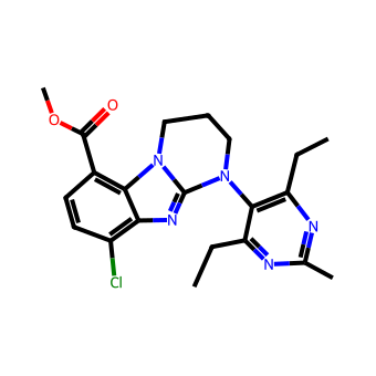 CCc1nc(C)nc(CC)c1N1CCCn2c1nc1c(Cl)ccc(C(=O)OC)c12